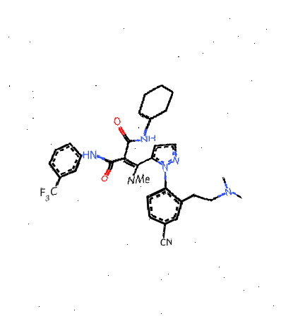 CN/C(=C(\C(=O)Nc1cccc(C(F)(F)F)c1)C(=O)NC1CCCCC1)c1ccnn1-c1ccc(C#N)cc1CCN(C)C